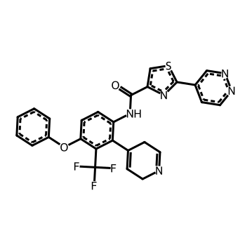 O=C(Nc1ccc(Oc2ccccc2)c(C(F)(F)F)c1C1=CCN=CC1)c1csc(-c2ccnnc2)n1